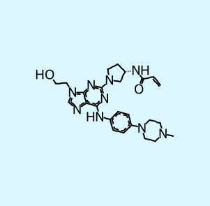 C=CC(=O)N[C@H]1CCN(c2nc(Nc3ccc(N4CCN(C)CC4)cc3)c3ncn(CCO)c3n2)C1